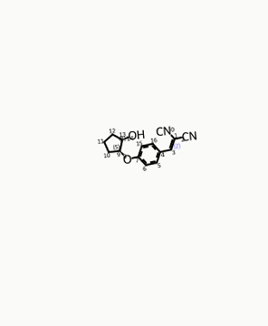 [C-]#[N+]/C(C#N)=C\c1ccc(O[C@H]2CCC[C@H]2O)cc1